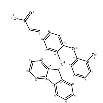 C=CC(=O)O.Oc1ccccc1Oc1ccccc1O.c1ccc2c(c1)Cc1ccccc1-2